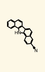 N#Cc1ccc2c(ccc3c4ccc5ccccc5c4[nH]c23)c1